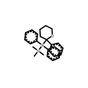 C[Si](C)(C)[Si](c1ccccc1)(c1ccccc1)C1(c2ccccc2)CCCCO1